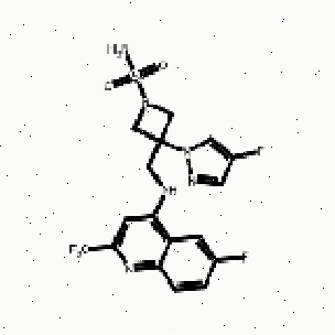 NS(=O)(=O)N1CC(CNc2cc(C(F)(F)F)nc3ccc(F)cc23)(n2cc(F)cn2)C1